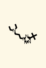 CCN(CC)CCCn1nnc(C(C)(C)C)n1